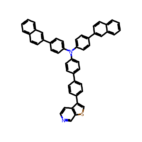 c1ccc2cc(-c3ccc(N(c4ccc(-c5ccc(-c6csc7cnccc67)cc5)cc4)c4ccc(-c5ccc6ccccc6c5)cc4)cc3)ccc2c1